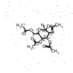 CC(=O)OCC1O[C@@H]2OC(C)=NC2[C@@H](OC(C)=O)[C@H]1OC(C)=O